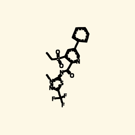 CCS(=O)(=O)c1cc(-c2ccccc2)cnc1C(=O)/N=c1\sc(C(F)(F)F)nn1C